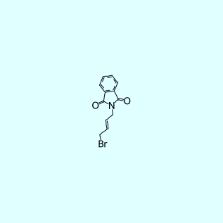 O=C1c2ccccc2C(=O)N1CC=CCBr